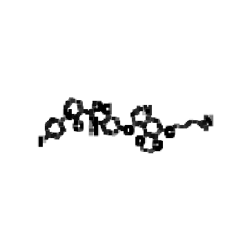 O=C(Nc1ccc(Oc2ccnc3cc(OCCCC4=NC4)c4c(c23)OCCO4)cc1Cl)c1cccn(-c2ccc(F)cc2)c1=O